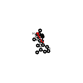 CCN(c1ccccc1)c1ccccc1B1c2ccccc2N2c3ccccc3B3c4cc5c(cc4N(c4c(-c6ccccc6)cccc4-c4ccccc4)[C@H]4C1C3C42)Oc1cc(-c2ccc3sc4ccccc4c3c2)cc2c1B5c1ccccc1N2c1cc(-c2ccccc2)cc(-c2ccccc2)c1